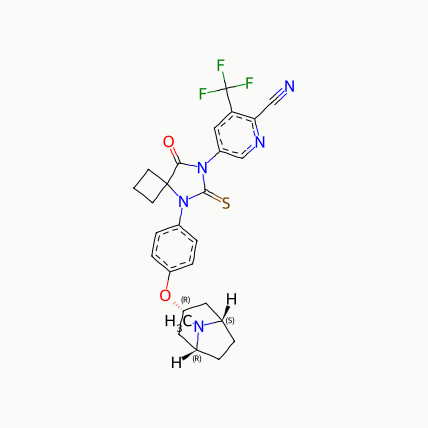 CN1[C@@H]2CC[C@H]1C[C@@H](Oc1ccc(N3C(=S)N(c4cnc(C#N)c(C(F)(F)F)c4)C(=O)C34CCC4)cc1)C2